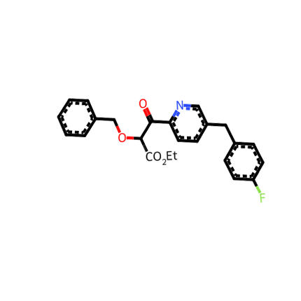 CCOC(=O)C(OCc1ccccc1)C(=O)c1ccc(Cc2ccc(F)cc2)cn1